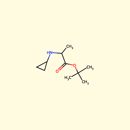 CC(NC1CC1)C(=O)OC(C)(C)C